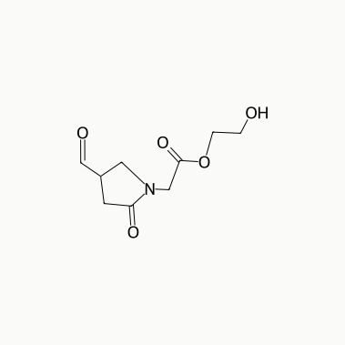 O=CC1CC(=O)N(CC(=O)OCCO)C1